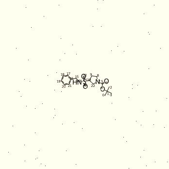 CC(C)(C)OC(=O)N1CCC(S(=O)(=O)NCc2ccccc2)C1